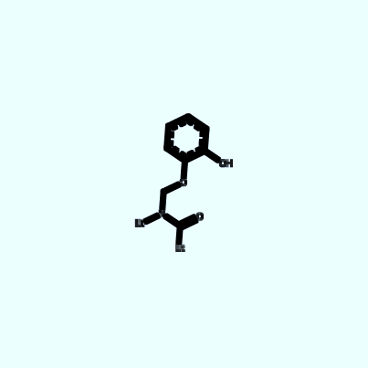 CCC(=O)N(CC)COc1ccccc1O